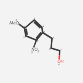 COc1ccc(CCCO)c([N+](=O)[O-])c1